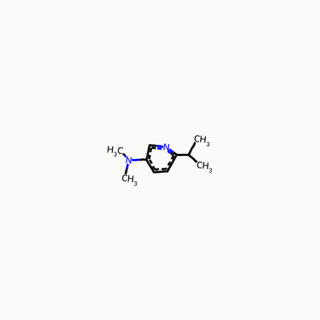 CC(C)c1ccc(N(C)C)cn1